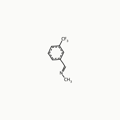 C/N=C/c1cccc(C(F)(F)F)c1